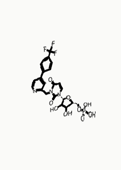 O=c1ccn([C@@H]2O[C@H](COP(=O)(O)O)C(O)C2O)c(=O)n1Cc1cc(-c2ccc(C(F)(F)F)cc2)ccn1